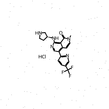 Cl.Cn1ccc2c(-c3ccc(C(F)(F)F)cn3)cnc(N[C@H]3CCNC3)c2c1=O